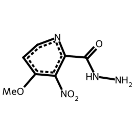 COc1ccnc(C(=O)NN)c1[N+](=O)[O-]